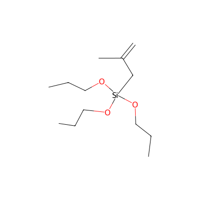 C=C(C)C[Si](OCCC)(OCCC)OCCC